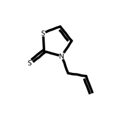 C=CCn1ccsc1=S